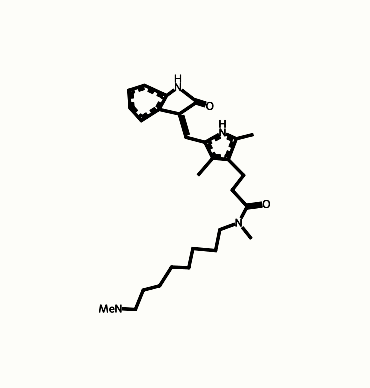 CNCCCCCCCCN(C)C(=O)CCc1c(C)[nH]c(C=C2C(=O)Nc3ccccc32)c1C